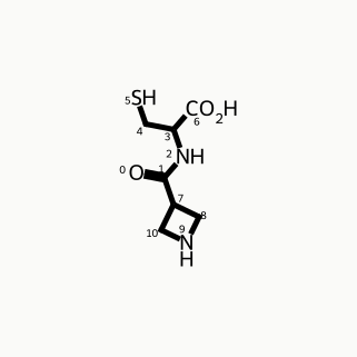 O=C(NC(CS)C(=O)O)C1CNC1